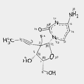 CC#CC1(F)[C@@H](O)[C@@H](CO)O[C@H]1n1ccc(N)nc1=O